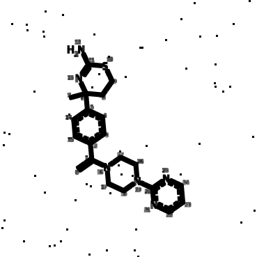 C=C(c1ccc(C2(C)CCSC(N)=N2)cc1)N1CCN(c2ncccn2)CC1